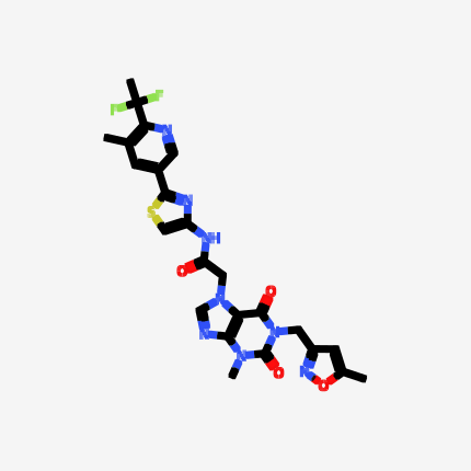 Cc1cc(Cn2c(=O)c3c(ncn3CC(=O)Nc3csc(-c4cnc(C(C)(F)F)c(C)c4)n3)n(C)c2=O)no1